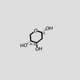 O[C@@H]1C[C@@H](O)[C@H](O)CO1